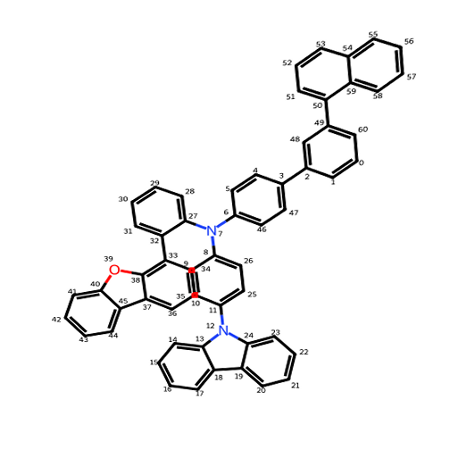 c1cc(-c2ccc(N(c3ccc(-n4c5ccccc5c5ccccc54)cc3)c3ccccc3-c3cccc4c3oc3ccccc34)cc2)cc(-c2cccc3ccccc23)c1